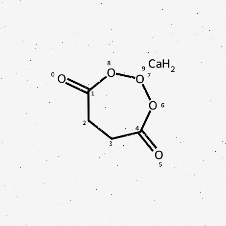 O=C1CCC(=O)OOO1.[CaH2]